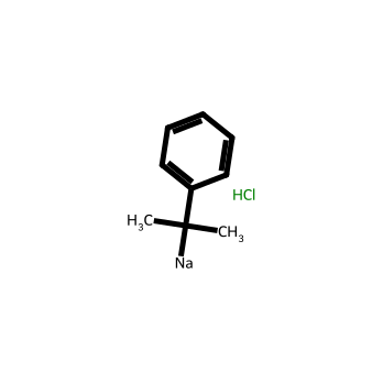 C[C](C)([Na])c1ccccc1.Cl